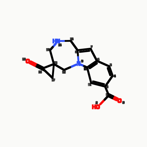 O=C(O)c1ccc2cc3n(c2c1)CC1(CNC3)CC1=O